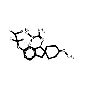 COC1CCC2(CC1)Cc1ccc(OC(F)(F)C(F)F)cc1[C@H]2/N=C(/N)N(C)C